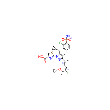 C/C(=C\C=C(\F)C(C)OC1CC1)c1nn(-c2nc(C(=O)O)cs2)c(CC2CC2)c1Cc1ccc(S(N)(=O)=O)c(F)c1